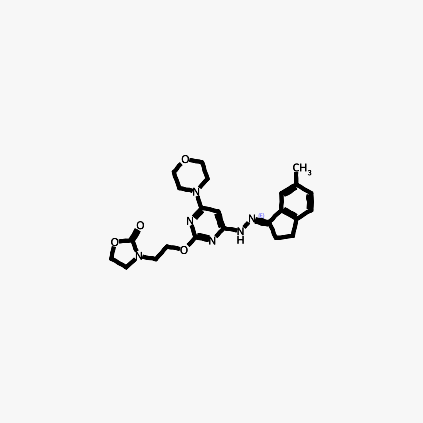 Cc1ccc2c(c1)/C(=N/Nc1cc(N3CCOCC3)nc(OCCN3CCOC3=O)n1)CC2